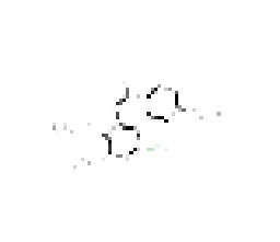 COc1c(C=C(C)c2ccc([N+](=O)[O-])cc2)cc(Br)cc1C(C)(C)C